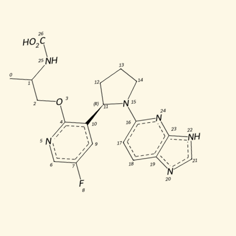 CC(COc1ncc(F)cc1[C@H]1CCCN1c1ccc2nc[nH]c2n1)NC(=O)O